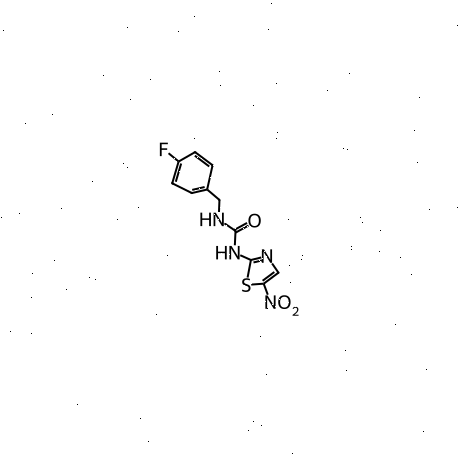 O=C(NCc1ccc(F)cc1)Nc1ncc([N+](=O)[O-])s1